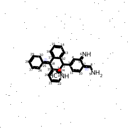 C#CC(C1=CC(=N)/C(=C/N)C=C1)c1ccccc1/C(C1=CC=CNC1)=C1/C=CC=CC1